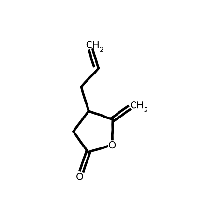 C=CCC1CC(=O)OC1=C